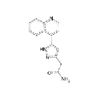 NC(=O)Cc1cc(-c2ccnc3ccccc23)[nH]n1